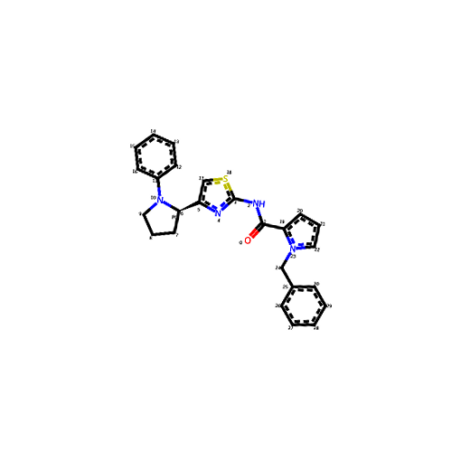 O=C(Nc1nc([C@H]2CCCN2c2ccccc2)cs1)c1cccn1Cc1ccccc1